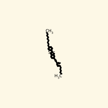 CCCCCCCCCCc1ccc2c(c1)sc1c3ccc(C#Cc4ccc(CCCCCC)cc4)cc3sc21